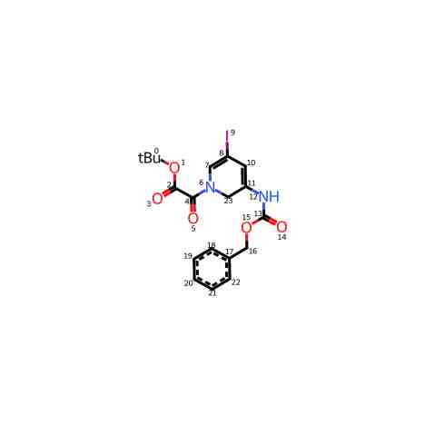 CC(C)(C)OC(=O)C(=O)N1C=C(I)C=C(NC(=O)OCc2ccccc2)C1